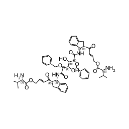 CC(C)[C@H](N)C(=O)OCC=CC(=O)[C@@H]1Cc2ccccc2[C@H]1NC(=O)[C@H](OCc1ccccc1)[C@H](O)[C@@H](O)[C@@H](OCc1ccccc1)C(=O)N[C@@H]1c2ccccc2C[C@H]1C(=O)C=CCOC(=O)[C@@H](N)C(C)C